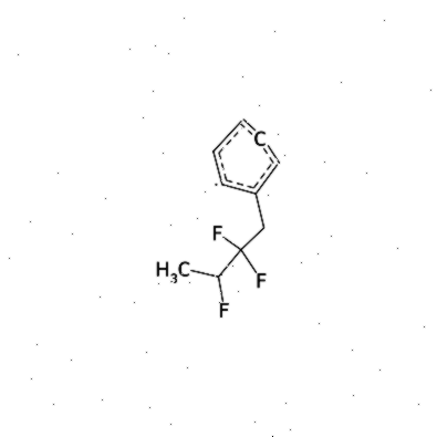 CC(F)C(F)(F)Cc1[c]cccc1